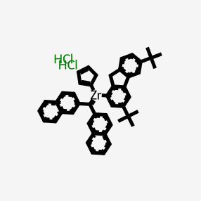 CC(C)(C)c1ccc2c(c1)-c1cc(C(C)(C)C)c[c]([Zr]([C]3=CC=CC3)=[C](c3ccc4ccccc4c3)c3ccc4ccccc4c3)c1C2.Cl.Cl